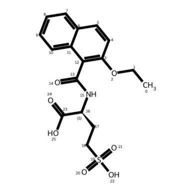 CCOc1ccc2ccccc2c1C(=O)N[C@@H](CCS(=O)(=O)O)C(=O)O